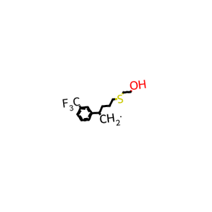 [CH2]C(CCCSCCO)c1cccc(C(F)(F)F)c1